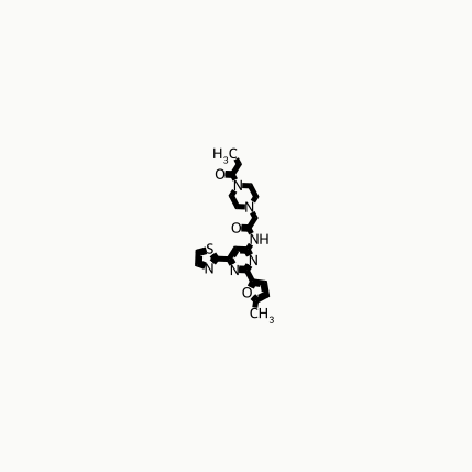 CCC(=O)N1CCN(CC(=O)Nc2cc(-c3nccs3)nc(-c3ccc(C)o3)n2)CC1